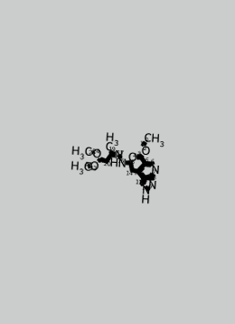 CCOC(=O)c1cnc2n[nH]cc2c1CCNN=C(C)CC(OC)OC